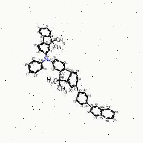 CC1(C)c2ccccc2-c2ccc(N(c3ccccc3)c3ccc4c(c3)C(C)(C)c3cc(-c5ccc(-c6ccc7ccccc7c6)cc5)ccc3-4)cc21